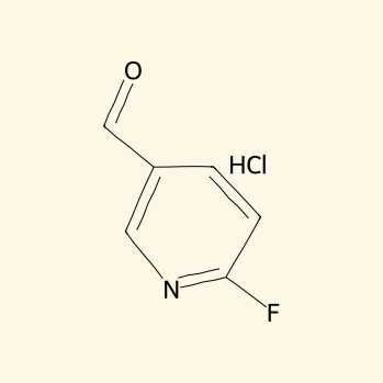 Cl.O=Cc1ccc(F)nc1